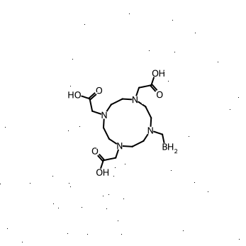 BCN1CCN(CC(=O)O)CCN(CC(=O)O)CCN(CC(=O)O)CC1